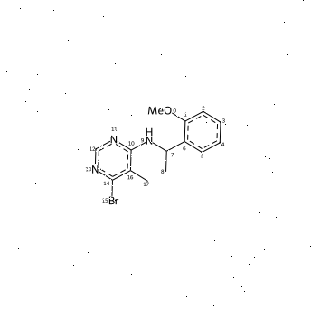 COc1ccccc1C(C)Nc1ncnc(Br)c1C